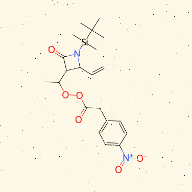 C=CC1C(C(C)OOC(=O)Cc2ccc([N+](=O)[O-])cc2)C(=O)N1[Si](C)(C)C(C)(C)C